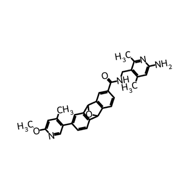 COc1cc(C)c(-c2ccc3c(c2)C2OC3c3ccc(C(=O)NCc4c(C)cc(N)nc4C)cc32)cn1